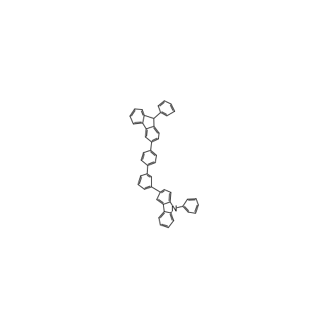 c1ccc(C2c3ccccc3-c3cc(-c4ccc(-c5cccc(-c6ccc7c(c6)c6ccccc6n7-c6ccccc6)c5)cc4)ccc32)cc1